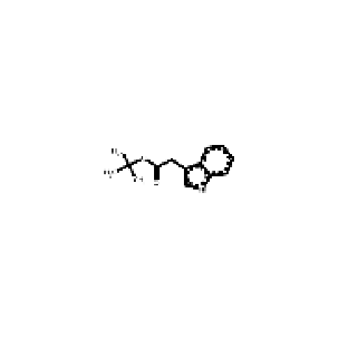 CC(C)(C)OC(=O)[CH]c1c[nH]c2ccccc12